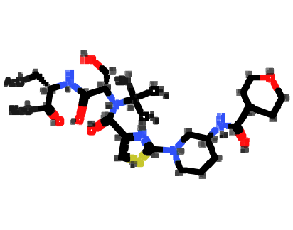 COC(=O)[C@H](COC(C)=O)NC(=O)[C@H](CO)N(C(=O)c1csc(N2CCC[C@H](NC(=O)C3CCOCC3)C2)n1)[Si](C)(C)C(C)(C)C